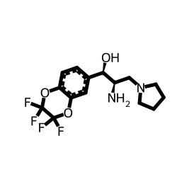 N[C@H](CN1CCCC1)[C@H](O)c1ccc2c(c1)OC(F)(F)C(F)(F)O2